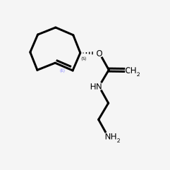 C=C(NCCN)O[C@@H]1/C=C/CCCCC1